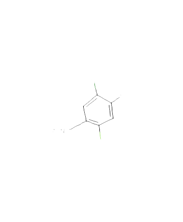 CC(=O)Nc1cc(Cl)c(C(F)(F)F)cc1F